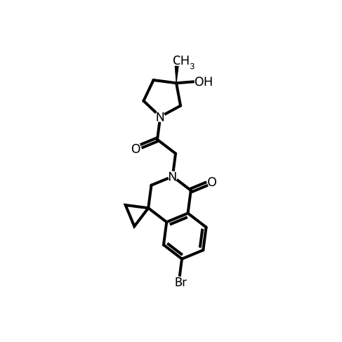 C[C@]1(O)CCN(C(=O)CN2CC3(CC3)c3cc(Br)ccc3C2=O)C1